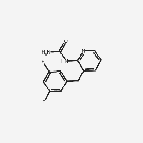 NC(=O)Nc1ncccc1Cc1cc(F)cc(F)c1